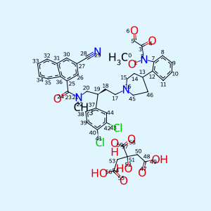 CON(C(=O)C=O)c1ccccc1C1CCN(CC[C@H](CN(C)C(=O)c2cc(C#N)cc3ccccc23)c2ccc(Cl)c(Cl)c2)CC1.O=C(O)CC(O)(CC(=O)O)C(=O)O